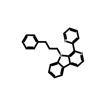 c1ccc(CCCn2c3ccccc3c3ccnc(-c4ccccn4)c32)cc1